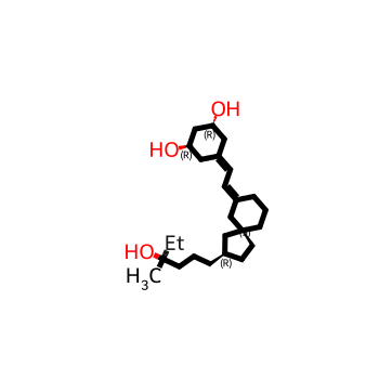 CCC(C)(O)CCC[C@@H]1CC[C@@]2(CCCC(=CC=C3C[C@@H](O)C[C@H](O)C3)C2)C1